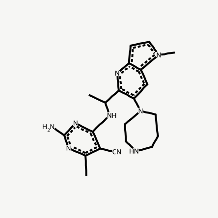 Cc1nc(N)nc(NC(C)c2nc3ccn(C)c3cc2N2CCCNCC2)c1C#N